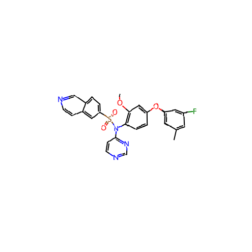 COc1cc(Oc2cc(C)cc(F)c2)ccc1N(c1ccncn1)S(=O)(=O)c1ccc2cnccc2c1